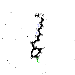 [CH]=C/C=C/C=C/CCCc1ccc(Cl)cc1